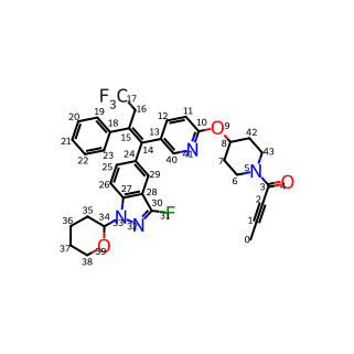 CC#CC(=O)N1CCC(Oc2ccc(C(=C(CC(F)(F)F)c3ccccc3)c3ccc4c(c3)c(F)nn4C3CCCCO3)cn2)CC1